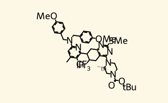 COc1ccc(CN(Cc2ccc(OC)cc2)c2cc(C)c(C(F)(F)F)c(C3Cc4nc(SC)nc(N5CCN(C(=O)OC(C)(C)C)C[C@@H]5C)c4CC3C(C)C)n2)cc1